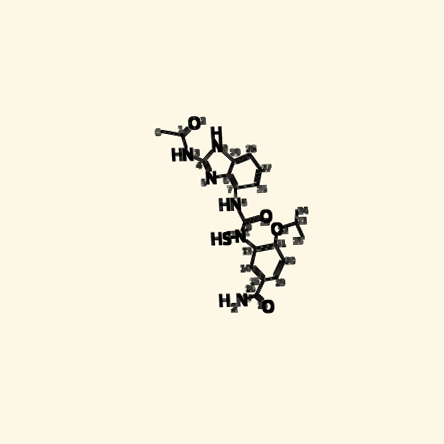 CC(=O)Nc1nc2c(NC(=O)N(S)c3cc(C(N)=O)ccc3OC(C)C)cccc2[nH]1